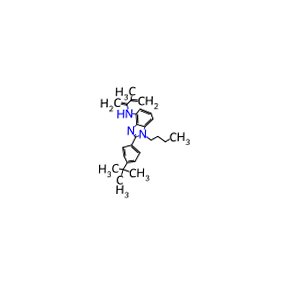 C=C(C)C(=C)Nc1cccc2c1nc(-c1ccc(C(C)(C)C)cc1)n2CCCC